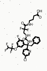 O=C(O)CCCNC(=O)C(F)(F)CNC(=O)N[C@@](Cc1ccccc1)(c1cc(F)cc(OC(F)(F)C(F)F)c1)c1ccc(Cl)cn1